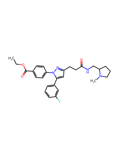 CCOC(=O)c1ccc(-n2nc(CCC(=O)NCC3CCCN3C)cc2-c2cccc(F)c2)cc1